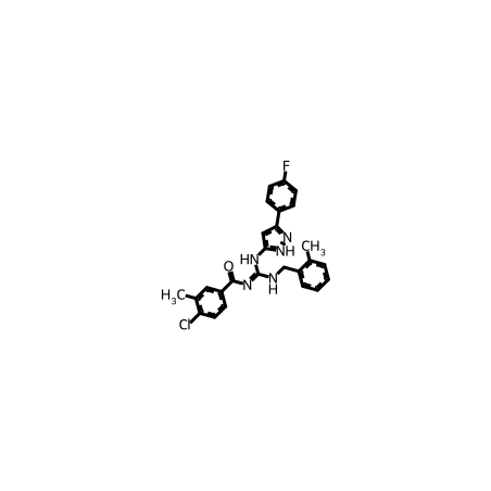 Cc1cc(C(=O)/N=C(/NCc2ccccc2C)Nc2cc(-c3ccc(F)cc3)n[nH]2)ccc1Cl